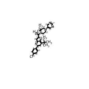 CC(C)(C)c1cc(-c2ccc(Cl)cc2)nc2cc(C(=O)N3CCN(c4cncnc4)CC3(C)C)oc12